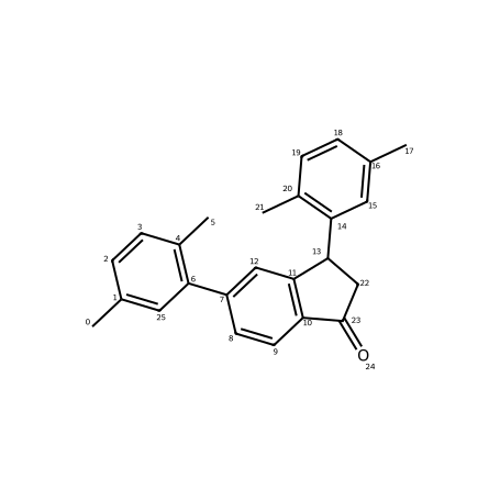 Cc1ccc(C)c(-c2ccc3c(c2)C(c2cc(C)ccc2C)CC3=O)c1